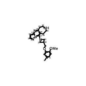 COc1ccc(C)cc1OCC1CN(c2c3c(nc4ccnn24)CCNCC3)C1